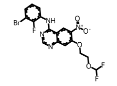 O=[N+]([O-])c1cc2c(Nc3cccc(Br)c3F)ncnc2cc1OCCOC(F)F